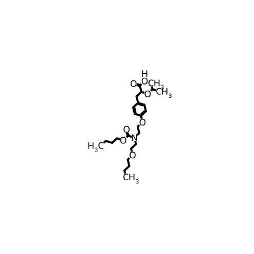 CCCCOCCN(CCOc1ccc(CC(OC(C)C)C(=O)O)cc1)C(=O)OCCCC